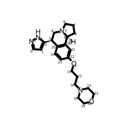 c1cc([C@H]2CN3CCC[C@H]3c3cc(OCCCN4CCOCC4)ccc32)[nH]n1